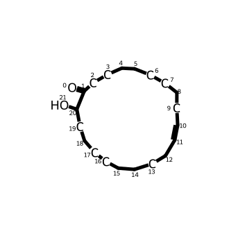 O=C1CCCCCCCCC=CCCCCCCCCC1O